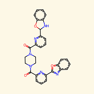 O=C(c1cccc(-c2nc3ccccc3o2)n1)N1CCN(C(=O)c2cccc(C3Nc4ccccc4O3)n2)CC1